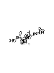 Cc1ccc(-c2ccccc2[C@@H](O)C2CCN(c3ccc(C(=O)NS(=O)(=O)c4ccc(N[C@@H](CSc5ccccc5)CC5CCN5CCO)c(S(=O)(=O)C(F)(F)F)c4)cc3)CC2)cc1